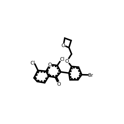 O=c1c(-c2ccc(Br)cc2OCC2CCO2)c(Cl)oc2c(Cl)cccc12